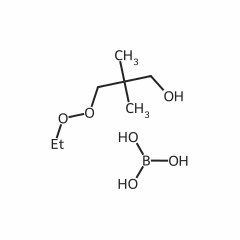 CCOOCC(C)(C)CO.OB(O)O